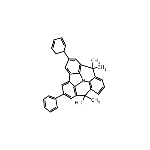 CC1(C)c2cccc3c2-n2c4c1cc(-c1ccccc1)cc4c1cc(C4C=CC=CC4)cc(c12)C3(C)C